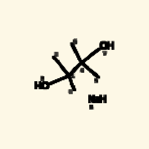 CC(C)(O)C(C)(C)O.[NaH]